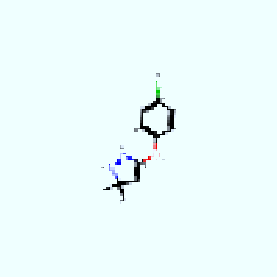 CC1(C)[C]=C(Oc2ccc(Cl)cc2)N=N1